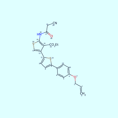 C=CCOc1ccc(-c2ccc(-c3csc(NC(=O)CC#N)c3C(=O)OCC)s2)cc1